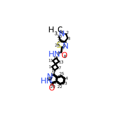 CN1CCc2nc(C(=O)N[C@H]3CC4(C3)C[C@H](c3n[nH]c(=O)c5ccccc53)C4)sc2C1